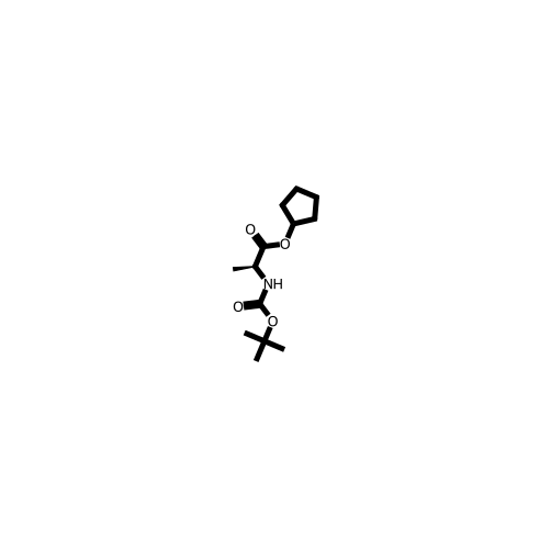 C[C@H](NC(=O)OC(C)(C)C)C(=O)OC1CCCC1